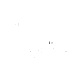 C=C1C[C@H](CCC=O)O[C@H]1CC[C@H]1C[C@@H](C)C(=C)[C@@H](C[C@@H]2O[C@H](C[C@H]3CN(C(=O)OC(C)(C)C)C(C)(C)O3)[C@H](OC)[C@H]2C(C(=O)C[C@H]2CCC3O[C@@H]([C@@H](O)/C=C/I)[C@@H](O)[C@@H](O)[C@H]3O2)S(=O)(=O)c2ccccc2)O1